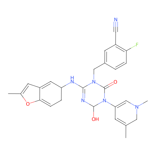 CC1=CC(N2C(=O)N(Cc3ccc(F)c(C#N)c3)C(NC3C=c4cc(C)oc4=CC3)=NC2O)=CN(C)C1